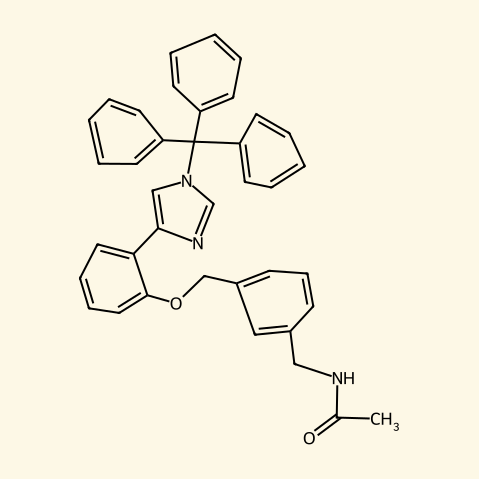 CC(=O)NCc1cccc(COc2ccccc2-c2cn(C(c3ccccc3)(c3ccccc3)c3ccccc3)cn2)c1